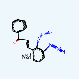 [N-]=[N+]=Nc1cccc(C=CC(=O)c2ccccc2)c1N=[N+]=[N-].[NaH]